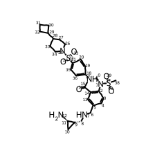 CN(c1ccc(CNC[C@@H]2C[C@H]2N)cc1C(=O)Nc1ccc(S(=O)(=O)N2CCC(C3CCC3)CC2)cc1)S(C)(=O)=O